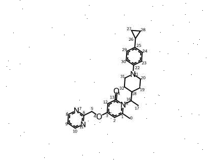 Cc1cc(OCc2ncccn2)cc(=O)n1C(C)C1CCN(c2ccc(C3CC3)cc2)CC1